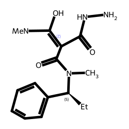 CC[C@@H](c1ccccc1)N(C)C(=O)/C(C(=O)NN)=C(/O)NC